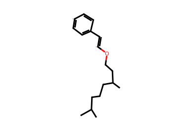 CC(C)CCCC(C)CCO[C]=Cc1cc[c]cc1